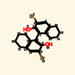 Oc1c(Br)cc2c(c1-c1c(O)c(Br)cc3c1CCCC3)CCCC2